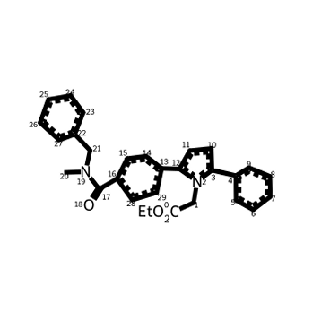 CCOC(=O)Cn1c(-c2ccccc2)ccc1-c1ccc(C(=O)N(C)Cc2ccccc2)cc1